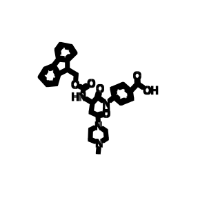 CN1CCN(C(=O)CC(NC(=O)OCC2c3ccccc3-c3ccccc32)C(=O)Nc2ccc(C(=O)O)cc2)CC1